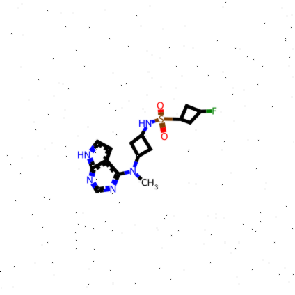 CN(c1ncnc2[nH]ccc12)C1CC(NS(=O)(=O)C2CC(F)C2)C1